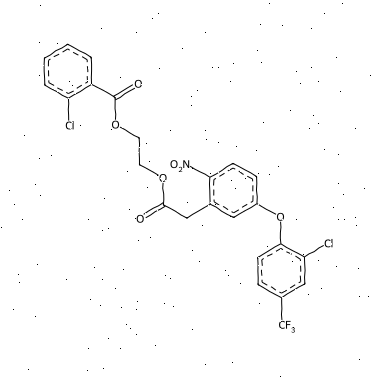 O=C(Cc1cc(Oc2ccc(C(F)(F)F)cc2Cl)ccc1[N+](=O)[O-])OCCOC(=O)c1ccccc1Cl